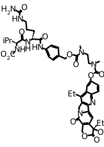 CCc1c2c(nc3ccc(OC(=O)N(C)CCN(C)C(=O)OCc4ccc(NC(=O)[C@H](CCCNC(N)=O)NC(=O)[C@@H](NC(=O)O)C(C)C)cc4)cc13)-c1cc3c(c(=O)n1C2)COC(=O)[C@]3(O)CC